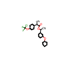 CCCC(C(=O)OC(C#N)c1cccc(Oc2ccccc2)c1)c1ccc(OC(F)(F)Cl)cc1